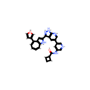 O=C(Nc1cncc(-c2cnc3[nH]nc(-c4cc5c([nH]4)C=C=CC=C5c4ccoc4)c3c2)c1)C1CCC1